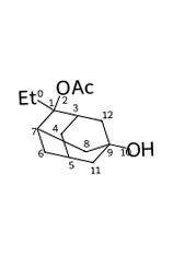 CCC1(OC(C)=O)C2CC3CC1CC(O)(C3)C2